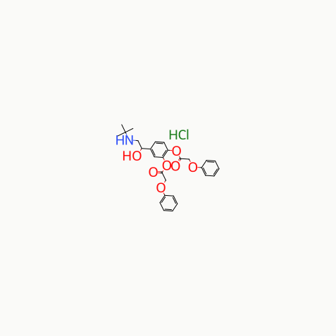 CC(C)(C)NCC(O)c1ccc(OC(=O)COc2ccccc2)c(OC(=O)COc2ccccc2)c1.Cl